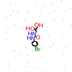 O=C(NC[C@@H](O)CO)Nc1ccc(Br)cc1